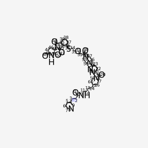 O=C(/C=C/c1cccnc1)NCCCCC1CCN(C(=O)c2ccc(N3CCN(C(=O)COCCSc4cccc5c4C(=O)N(C4CCC(=O)NC4=O)C5=O)CC3)nn2)CC1